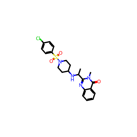 CC(NC1CCN(S(=O)(=O)c2ccc(Cl)cc2)CC1)c1nc2ccccc2c(=O)n1C